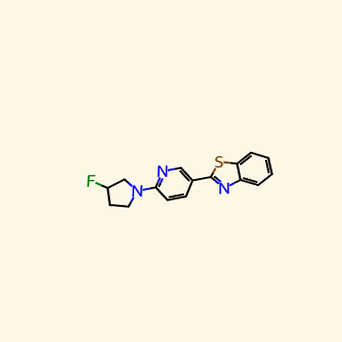 FC1CCN(c2ccc(-c3nc4ccccc4s3)cn2)C1